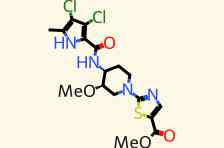 COC(=O)c1cnc(N2CC[C@H](NC(=O)c3[nH]c(C)c(Cl)c3Cl)[C@H](OC)C2)s1